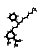 CCCCCCC(CCc1ccc(O)c(C(=O)O)c1)c1ccccc1